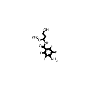 CCCOC(CCO)NC(=O)c1c(F)c(F)c(N)c(F)c1F